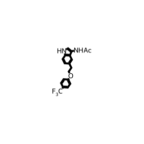 CC(=O)Nc1c[nH]c2ccc(CCOc3ccc(C(F)(F)F)cc3)cc12